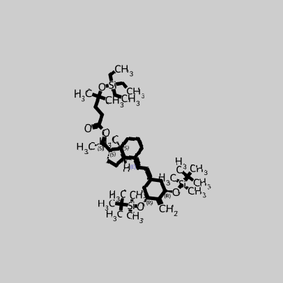 C=C1[C@H](O[Si](C)(C)C(C)(C)C)CC(=C/C=C2\CCC[C@]3(C)[C@@H]([C@H](C)OC(=O)CCC(C)(C)O[Si](CC)(CC)CC)CC[C@@H]23)C[C@H]1O[Si](C)(C)C(C)(C)C